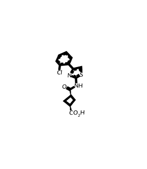 O=C(O)[C@H]1C[C@@H](C(=O)Nc2nc(-c3ccccc3Cl)cs2)C1